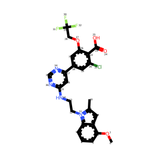 COc1cccc2c1cc(C)n2CCNc1cc(-c2cc(Cl)c(C(=O)O)c(OCC(F)(F)F)c2)ncn1